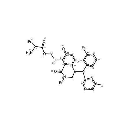 CCN1CC(C(c2cccc(C)c2)c2cccc(F)c2)n2ncc(=O)c(OCOC(=O)C(N)C(C)C)c2C1=O